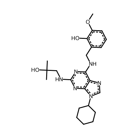 COc1cccc(CNc2nc(NCC(C)(C)O)nc3c2ncn3C2CCCCC2)c1O